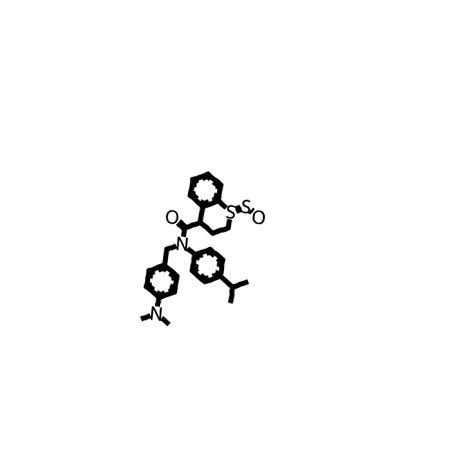 CC(C)c1ccc(N(Cc2ccc(N(C)C)cc2)C(=O)C2CCS(=S=O)c3ccccc32)cc1